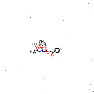 C[C@H](O)CN(CC(=O)OCC(=O)c1ccc(Br)cc1)C(=O)OC(C)(C)C